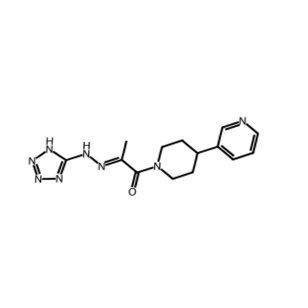 C/C(=N\Nc1nnn[nH]1)C(=O)N1CCC(c2cccnc2)CC1